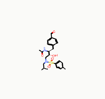 CC(=O)N[C@@H](Cc1ccc(C=O)cc1)[C@H](O)CN(CC(C)C)S(=O)(=O)c1ccc(C)cc1